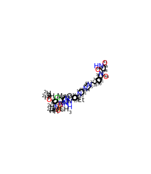 [2H]C([2H])([2H])Oc1ccc(Nc2nc(Nc3cc(CC)c(N4CCC(N5CCN(CCc6ccc7c(c6)CN(C6CCC(=O)NC6=O)C7=O)CC5)CC4)cc3OC)ncc2Cl)c(N(C([2H])([2H])[2H])S(C)(=O)=O)c1